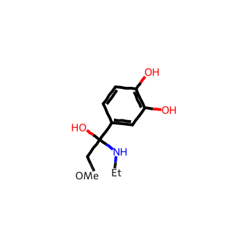 CCNC(O)(COC)c1ccc(O)c(O)c1